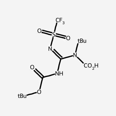 CC(C)(C)OC(=O)N/C(=N/S(=O)(=O)C(F)(F)F)N(C(=O)O)C(C)(C)C